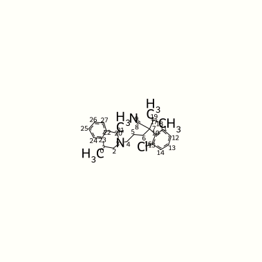 CCCN(CCCC(C#N)(c1ccccc1Cl)C(C)C)C(C)c1ccccc1